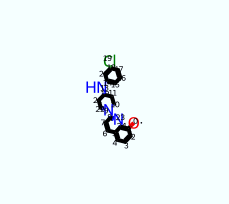 [O]c1cccc2ccc(N3CCC(Nc4cccc(Cl)c4)CC3)nc12